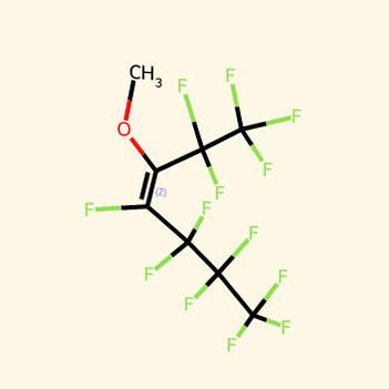 CO/C(=C(\F)C(F)(F)C(F)(F)C(F)(F)F)C(F)(F)C(F)(F)F